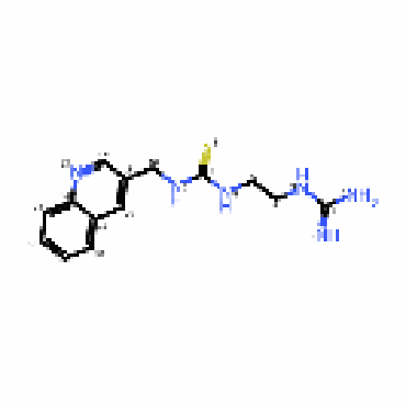 N=C(N)NCCNC(=S)NCc1cnc2ccccc2c1